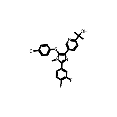 Cn1c(-c2ccc(F)c(F)c2)nc(-c2ccc(C(C)(C)O)nc2)c1Sc1ccc(Cl)cc1